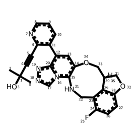 CC(C)(O)C#Cc1ncccc1-c1cc2c(n3cnnc13)NCc1c(F)ccc3c1[C@H](CO3)CO2